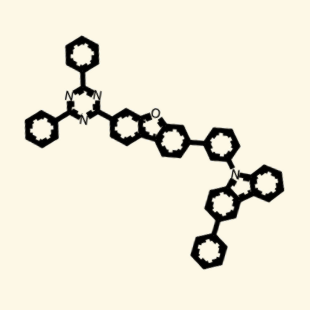 c1ccc(-c2ccc3c(c2)c2ccccc2n3-c2cccc(-c3ccc4c(c3)oc3cc(-c5nc(-c6ccccc6)nc(-c6ccccc6)n5)ccc34)c2)cc1